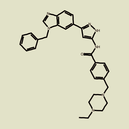 CCN1CCN(Cc2ccc(C(=O)Nc3cc(-c4ccc5ncn(Cc6ccccc6)c5c4)n[nH]3)cc2)CC1